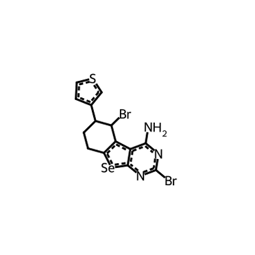 Nc1nc(Br)nc2[se]c3c(c12)C(Br)C(c1ccsc1)CC3